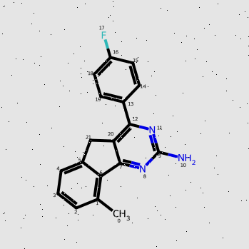 Cc1cccc2c1-c1nc(N)nc(-c3ccc(F)cc3)c1C2